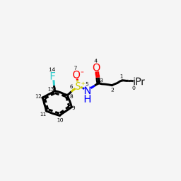 CC(C)CCC(=O)N[S+]([O-])c1ccccc1F